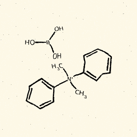 C[N+](C)(c1ccccc1)c1ccccc1.OB(O)O